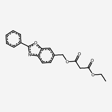 CCOC(=O)CC(=O)OCc1ccc2nc(-c3ccccc3)oc2c1